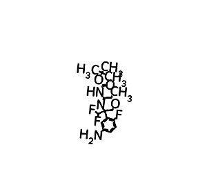 CC1OCC(c2cc(N)ccc2F)(C(F)F)N=C1NC(=O)OC(C)(C)C